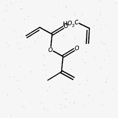 C=CC(=O)O.C=CC(=O)OC(=O)C(=C)C